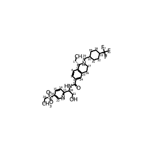 CC[C@H]1c2ccc(C(=O)NC(CO)c3ccc(S(=O)(=O)CC)cn3)cc2CCN1CC1CCC(C(F)(F)F)CC1